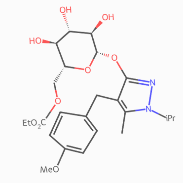 CCOC(=O)OC[C@H]1O[C@@H](Oc2nn(C(C)C)c(C)c2Cc2ccc(OC)cc2)[C@H](O)[C@@H](O)[C@@H]1O